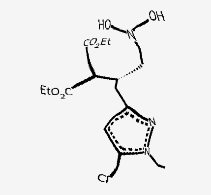 CCOC(=O)C(C(=O)OCC)[C@H](CN(O)O)c1cc(Cl)n(C)n1